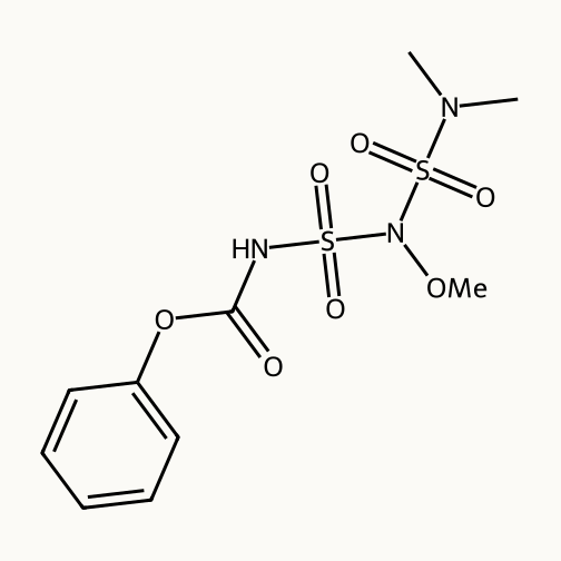 CON(S(=O)(=O)NC(=O)Oc1ccccc1)S(=O)(=O)N(C)C